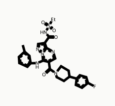 CCS(=O)(=O)NC(=O)c1cnn2c(Nc3cccc(C)c3)c(C(=O)N3CCC(c4ccc(F)cc4)CC3)cnc12